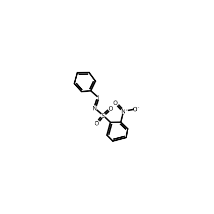 O=[N+]([O-])c1ccccc1S(=O)(=O)N=Ic1ccccc1